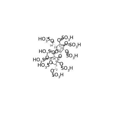 O=S(=O)(O)OC[C@H](OS(=O)(=O)O)[C@H](OS(=O)(=O)O)[C@H](O[C@@H]1O[C@H](COS(=O)(=O)O)[C@@H](OS(=O)(=O)O)[C@@H](OS(=O)(=O)O)[C@@H]1OS(=O)(=O)O)[C@@H](COS(=O)(=O)O)OS(=O)(=O)O